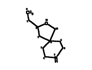 CCC1CC2(CCNCC2)CO1